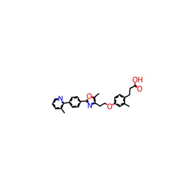 Cc1cc(OCCc2nc(-c3ccc(-c4ncccc4C)cc3)oc2C)ccc1CCC(=O)O